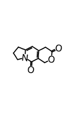 O=C1Cc2cc3n(c(=O)c2CO1)CCC3